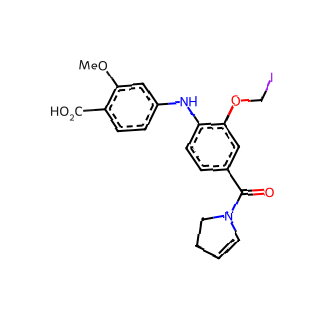 COc1cc(Nc2ccc(C(=O)N3C=CCC3)cc2OCI)ccc1C(=O)O